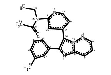 Cc1cccc(-c2nc3cccnn3c2-c2ccnc(N(CC(C)C)C(=O)C(F)(F)F)c2)c1